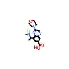 CNC(C)c1cc(C(=O)O)cc2ncc(N3CCOCC3)nc12